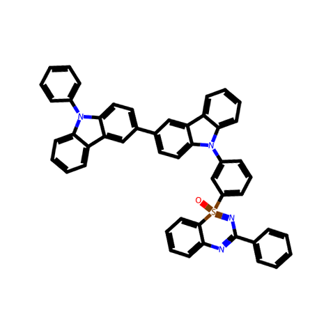 O=S1(c2cccc(-n3c4ccccc4c4cc(-c5ccc6c(c5)c5ccccc5n6-c5ccccc5)ccc43)c2)=NC(c2ccccc2)=Nc2ccccc21